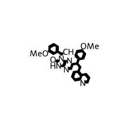 COc1ccc(C(Cc2cccc3ncccc23)c2cnc3[nH]c(=O)n(C(C)c4cccc(OC)c4)c3n2)cc1